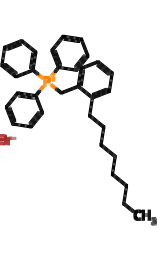 CCCCCCCCc1ccccc1C[P+](c1ccccc1)(c1ccccc1)c1ccccc1.[Br-]